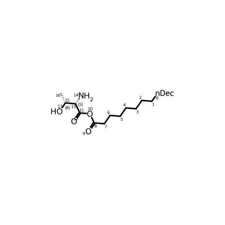 CCCCCCCCCCCCCCCCCC(=O)OC(=O)[C@@H](N)[C@@H](C)O